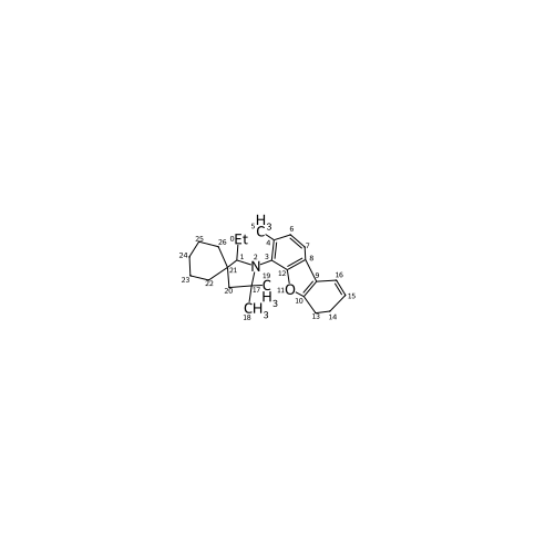 CCC1N(c2c(C)ccc3c4c(oc23)CCC=C4)C(C)(C)CC12CCCCC2